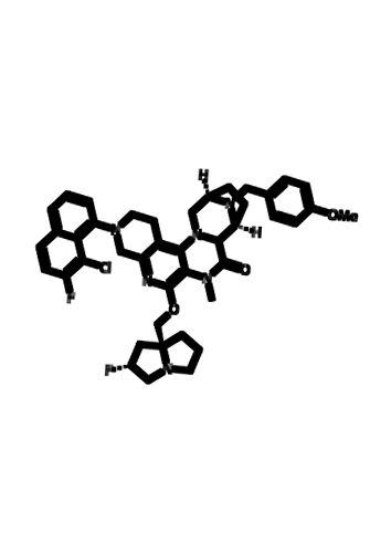 COc1ccc(CN2[C@@H]3CC[C@H]2C2C(=O)N(C)c4c(OC[C@@]56CCCN5C[C@H](F)C6)nc5c(c4N2C3)CCN(c2cccc3ccc(F)c(Cl)c23)C5)cc1